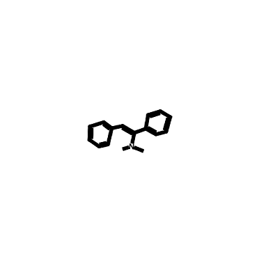 CN(C)C(=Cc1ccccc1)c1ccccc1